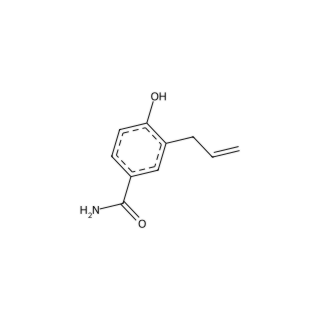 C=CCc1cc(C(N)=O)ccc1O